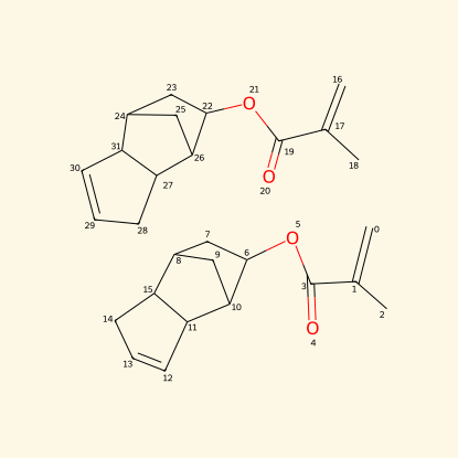 C=C(C)C(=O)OC1CC2CC1C1C=CCC21.C=C(C)C(=O)OC1CC2CC1C1CC=CC21